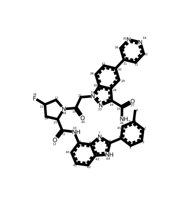 Cc1cccc(-c2nc3c(NC(=O)C4CC(F)CN4C(=O)Cn4nc(C(N)=O)c5cc(-c6ccnnc6)ccc54)cccc3[nH]2)c1